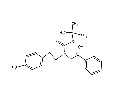 Cc1ccc(CCN(C[C@H](O)c2ccccc2)C(=O)OC(C)(C)C)cc1